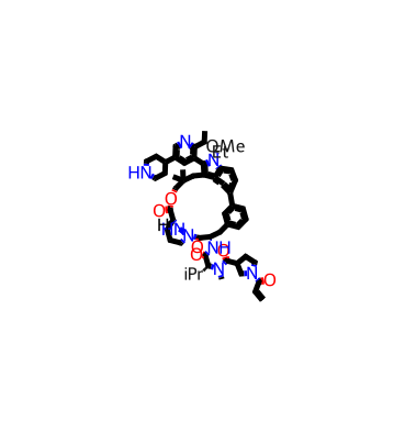 C=CC(=O)N1CCC(C(=O)N(C)[C@H](C(=O)N[C@H]2Cc3cccc(c3)-c3ccc4c(c3)c(c(-c3cc(C5CCNCC5)cnc3[C@H](C)OC)n4CC)CC(C)(C)COC(=O)[C@@H]3CCCN(N3)C2=O)C(C)C)C1